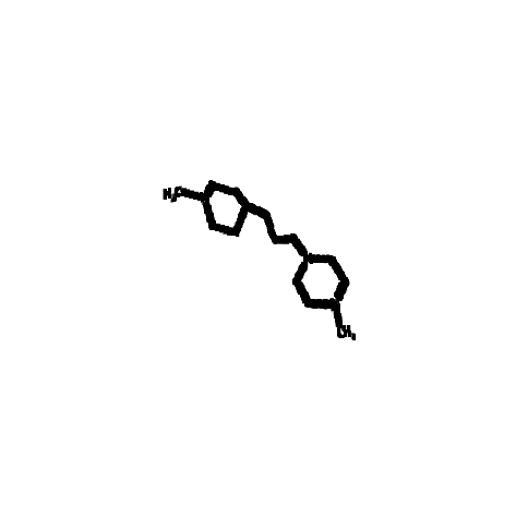 CN1CCC(CCCN2CCN(C)CC2)CC1